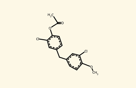 COc1ccc(Cc2ccc(OC(C)=O)c(Cl)c2)cc1Cl